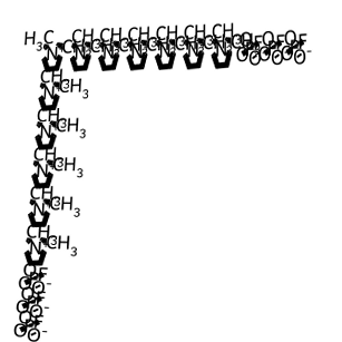 CC[N+]1(CC)CCCC1.CC[N+]1(CC)CCCC1.CC[N+]1(CC)CCCC1.CC[N+]1(CC)CCCC1.CC[N+]1(CC)CCCC1.CC[N+]1(CC)CCCC1.CC[N+]1(CC)CCCC1.CC[N+]1(CC)CCCC1.CC[N+]1(CC)CCCC1.CC[N+]1(CC)CCCC1.CC[N+]1(CC)CCCC1.CC[N+]1(CC)CCCC1.O=P([O-])([O-])F.O=P([O-])([O-])F.O=P([O-])([O-])F.O=P([O-])([O-])F.O=P([O-])([O-])F.O=P([O-])([O-])F